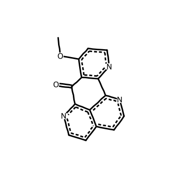 COc1ccnc2c1C(=O)c1nccc3ccnc-2c13